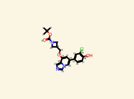 CC(C)(C)OC(=O)N1CC(COc2cc(-c3ccc(O)c(Cl)c3)cn3cncc23)C1